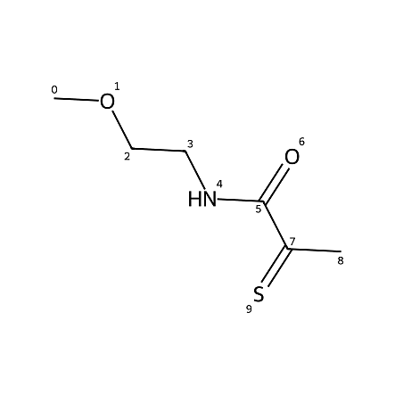 COCCNC(=O)C(C)=S